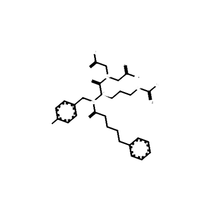 N=C(N)NCCC[C@H](C(=O)N(CC(=O)O)CC(=O)O)N(Cc1ccc(O)cc1)C(=O)CCCCc1ccccc1